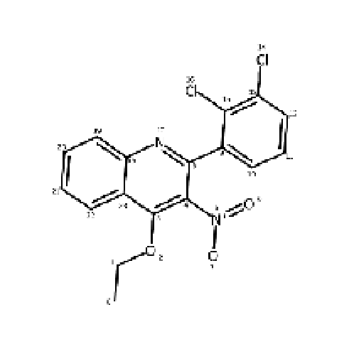 CCOc1c([N+](=O)[O-])c(-c2cccc(Cl)c2Cl)nc2ccccc12